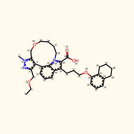 CCOCc1nn(C)c2c1-c1cccc3c(CCCOc4cccc5c4CCCC5)c(C(=O)O)n(c13)CCCCOC2